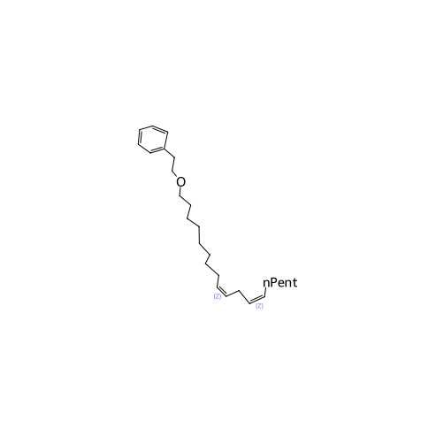 CCCCC/C=C\C/C=C\CCCCCCCCOCCc1ccccc1